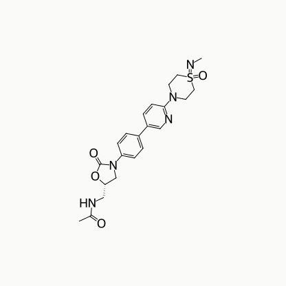 CN=S1(=O)CCN(c2ccc(-c3ccc(N4C[C@H](CNC(C)=O)OC4=O)cc3)cn2)CC1